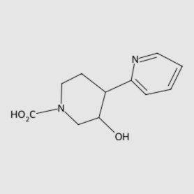 O=C(O)N1CCC(c2ccccn2)C(O)C1